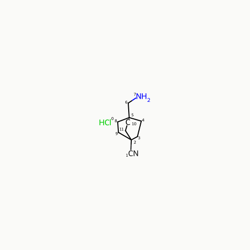 Cl.N#CC12CCC(CN)(CC1)CC2